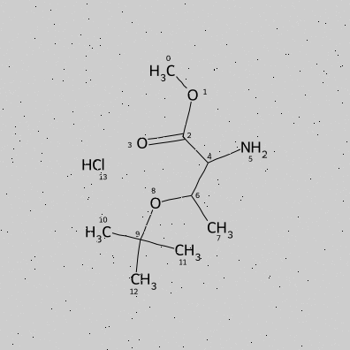 COC(=O)C(N)C(C)OC(C)(C)C.Cl